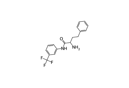 NC(CCc1ccccc1)C(=O)Nc1cccc(C(F)(F)F)c1